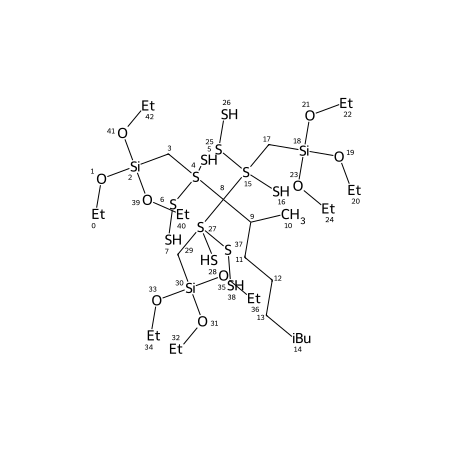 CCO[Si](CS(S)(SS)C(C(C)CCCC(C)CC)(S(S)(C[Si](OCC)(OCC)OCC)SS)S(S)(C[Si](OCC)(OCC)OCC)SS)(OCC)OCC